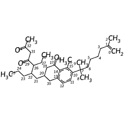 C=C(C)CCCCC(C)(C)c1ccc2c(c1C)C(=O)CC(CC(CCC)C(CC)C(=O)CC(C)=O)C2